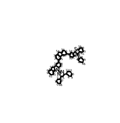 c1ccc(-c2cc(-c3ccccc3)nc(N3c4ccc(-c5ccc6c(c5)-c5cc(-c7ccc8c(c7)C7Sc9ccccc9C7N8c7ccccc7)ccc5C6)cc4C4Cc5ccccc5C43)n2)cc1